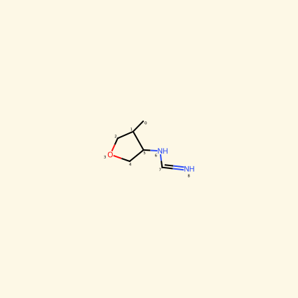 CC1COCC1NC=N